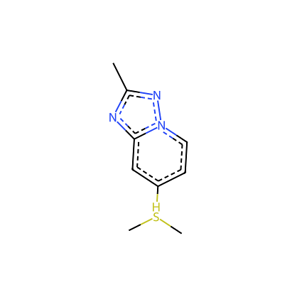 Cc1nc2cc([SH](C)C)ccn2n1